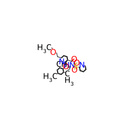 CCOCCc1ccc(C(=O)NS(=O)(=O)c2ccccn2)c(Oc2c(C)cc(C)cc2C)n1